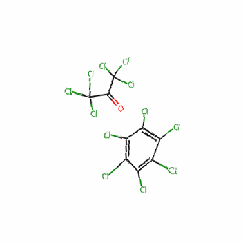 Clc1c(Cl)c(Cl)c(Cl)c(Cl)c1Cl.O=C(C(Cl)(Cl)Cl)C(Cl)(Cl)Cl